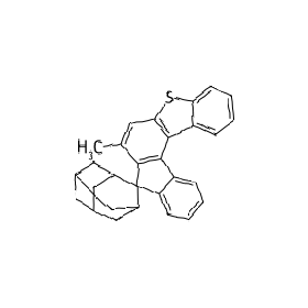 Cc1cc2sc3ccccc3c2c2c1C1(c3ccccc3-2)C2CC3CC(C2)CC1C3